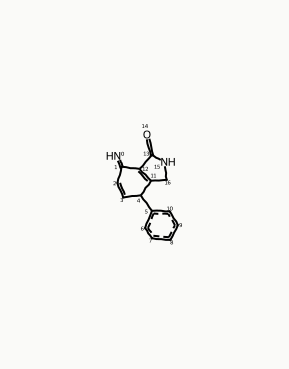 N=C1C=CC(c2ccccc2)C2=C1C(=O)NC2